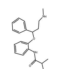 CNCCC(Oc1ccccc1NC(=O)C(C)C)c1ccccc1